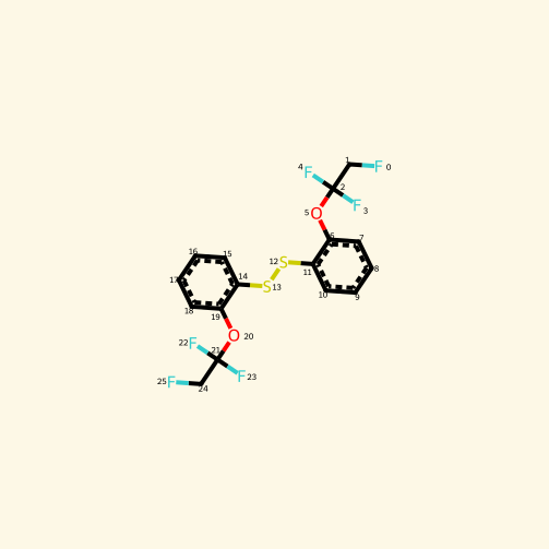 FCC(F)(F)Oc1ccccc1SSc1ccccc1OC(F)(F)CF